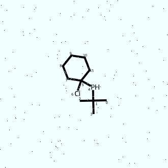 CC(C)(C)PC1(Cl)CCCCC1